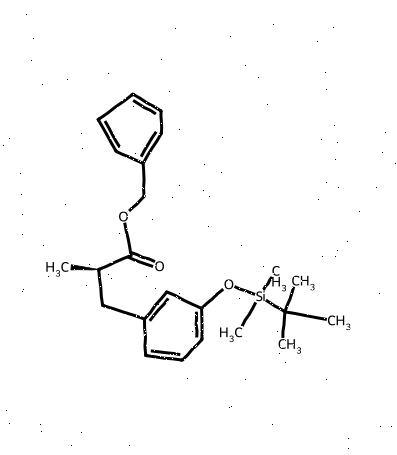 C[C@H](Cc1cccc(O[Si](C)(C)C(C)(C)C)c1)C(=O)OCc1ccccc1